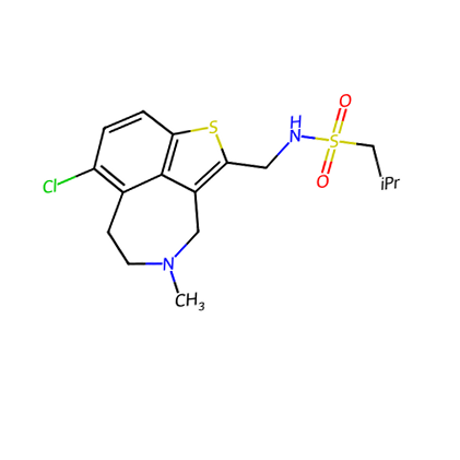 CC(C)CS(=O)(=O)NCc1sc2ccc(Cl)c3c2c1CN(C)CC3